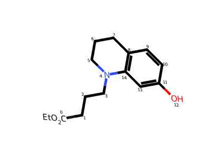 CCOC(=O)CCCN1CCCc2ccc(O)cc21